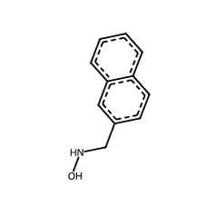 ONCc1ccc2ccccc2c1